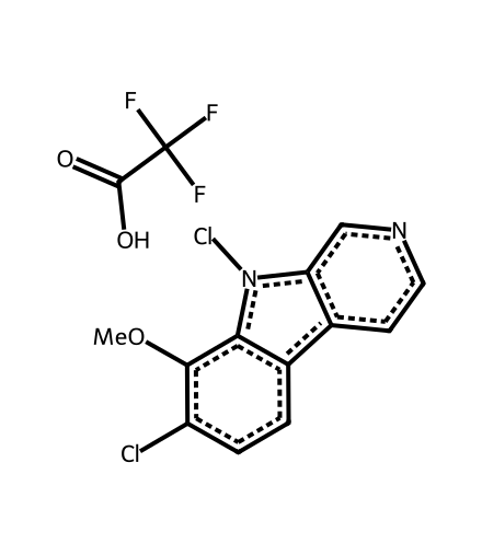 COc1c(Cl)ccc2c3ccncc3n(Cl)c12.O=C(O)C(F)(F)F